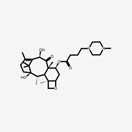 CC1=C2[C@@H](O)C(=O)[C@@]3(C)C([C@H](C)[C@](O)(CC1)C2(C)C)[C@]1(C)COC1C[C@@H]3OC(=O)CCCN1CCN(C)CC1